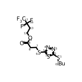 CCC(C)Sc1nnc(SCCC(=O)OCCC(F)(F)C(F)(F)F)s1